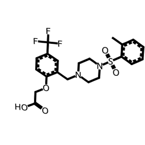 Cc1ccccc1S(=O)(=O)N1CCN(Cc2cc(C(F)(F)F)ccc2OCC(=O)O)CC1